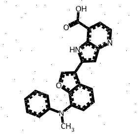 CN(c1ccccc1)c1cccc2c(-c3cc4nccc(C(=O)O)c4[nH]3)coc12